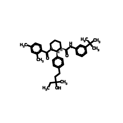 CCC(C)(O)CCc1ccc([C@H]2[C@@H](C(=O)Nc3cccc(C(C)(C)C)c3)CCCN2C(=O)c2ccc(C)cc2C)cc1